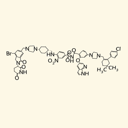 CC1(C)CCC(CN2CCN(c3ccc(C(=O)NS(=O)(=O)c4ccc(NC[C@H]5CC[C@@H](N6CCN(Cc7cc(Br)c8c(c7)C(=O)N(C7CCC(=O)NC7=O)C8)CC6)CC5)c([N+](=O)[O-])c4)c(Oc4cnc5[nH]ccc5c4)c3)CC2)=C(c2ccc(Cl)cc2)C1